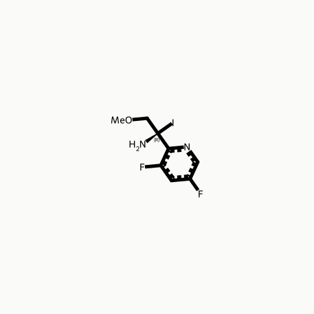 COC[C@](N)(I)c1ncc(F)cc1F